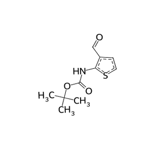 CC(C)(C)OC(=O)Nc1sccc1C=O